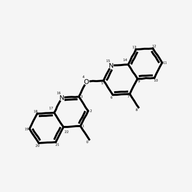 Cc1cc(Oc2cc(C)c3ccccc3n2)nc2ccccc12